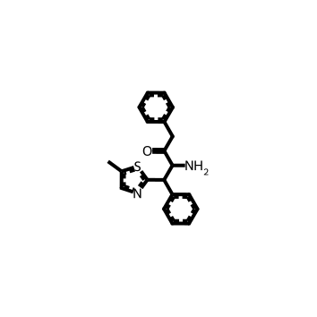 Cc1cnc(C(c2ccccc2)C(N)C(=O)Cc2ccccc2)s1